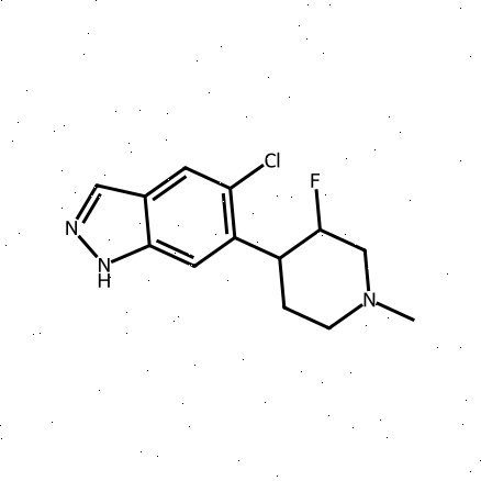 CN1CCC(c2cc3[nH]ncc3cc2Cl)C(F)C1